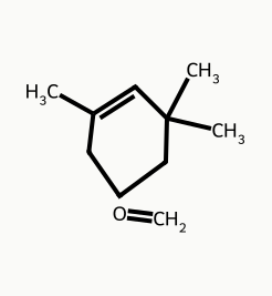 C=O.CC1=CC(C)(C)CCC1